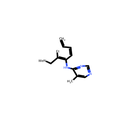 C=C/C=C\C(Nc1ncncc1C)=C(/CC)CNC